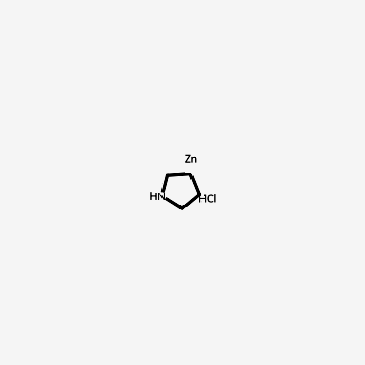 C1CCNC1.Cl.[Zn]